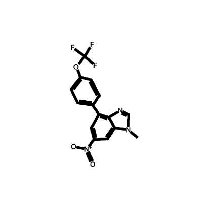 Cn1cnc2c(-c3ccc(OC(F)(F)F)cc3)cc([N+](=O)[O-])cc21